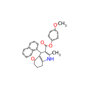 COc1ccc(OC(=O)C2=C(C)NC3=C(C(=O)CCC3)C2c2cccc3ccccc23)cc1